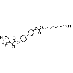 CCCCCCCCCOC(=O)Oc1ccc(-c2ccc(OC(=O)[C@@H](Cl)[C@@H](C)CC)cc2)cc1